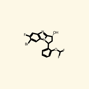 O[C@@H]1CC(c2ccccc2OC(F)F)n2c1nc1cc(F)c(Br)cc12